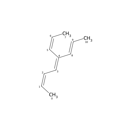 C\C=C/C=C(\C=C/C)/C=C/C